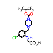 O=C(O)CNc1cc(Cl)ccc1CN1CCN(C(=O)OC(C(F)(F)F)C(F)(F)F)CC1